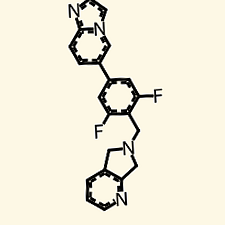 Fc1cc(-c2ccc3nccn3c2)cc(F)c1CN1Cc2cccnc2C1